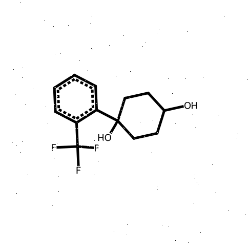 OC1CCC(O)(c2ccccc2C(F)(F)F)CC1